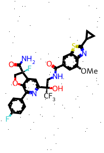 COc1cc(C(=O)NC[C@](O)(c2cc3c(c(-c4ccc(F)cc4)n2)OC[C@]3(F)C(N)=O)C(F)(F)F)cc2sc(C3CC3)nc12